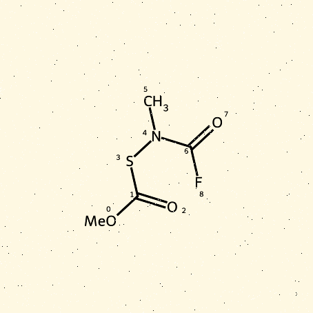 COC(=O)SN(C)C(=O)F